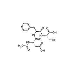 CC(=O)N[C@@H](CC(=O)O)C(=O)N[C@@H](Cc1ccccc1)C(=O)N[C@@H](CO)C(=O)O